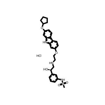 CS(=O)(=O)Nc1cccc([C@@H](O)CNCCOc2ccc3c(c2)[nH]c2cc(OC4CCCC4)ccc23)c1.Cl